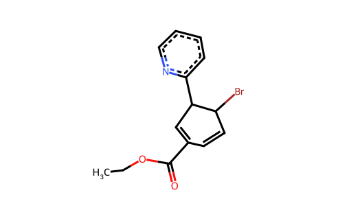 CCOC(=O)C1=CC(c2ccccn2)C(Br)C=C1